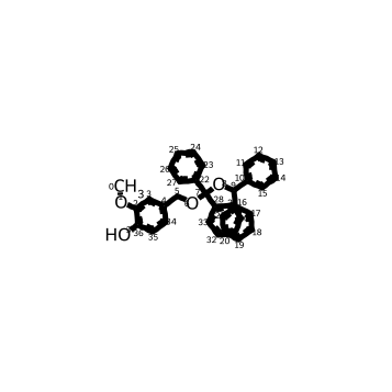 COc1cc(COC(OC(c2ccccc2)c2ccccc2)(c2ccccc2)c2ccccc2)ccc1O